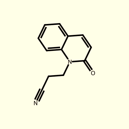 N#CCCn1c(=O)ccc2ccccc21